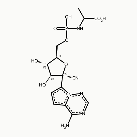 CC(NP(=O)(O)OC[C@H]1O[C@@](C#N)(c2ccc3c(N)ncnn23)[C@H](O)[C@@H]1O)C(=O)O